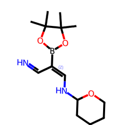 CC1(C)OB(/C(C=N)=C/NC2CCCCO2)OC1(C)C